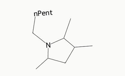 CCCCCCN1C(C)CC(C)C1C